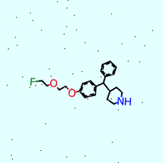 FCCOCCOc1ccc(C(c2ccccc2)C2CCNCC2)cc1